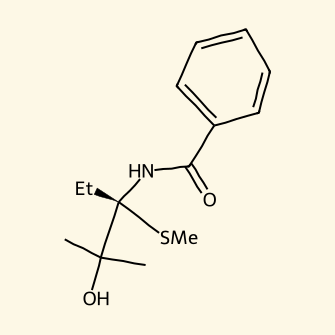 CC[C@@](NC(=O)c1ccccc1)(SC)C(C)(C)O